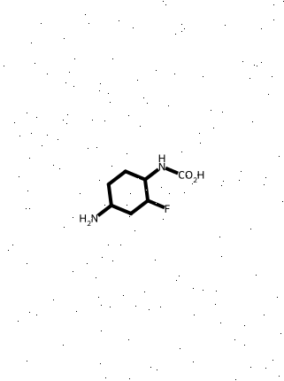 NC1CCC(NC(=O)O)C(F)C1